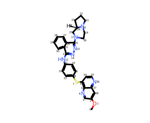 COc1cnc2c(Sc3ccc(Nc4nnc(N5CCN6CCC[C@H]6C5)c5ccccc45)cc3)ccnc2c1